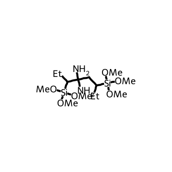 CCC(CC(N)(N)C(CC)[Si](OC)(OC)OC)[Si](OC)(OC)OC